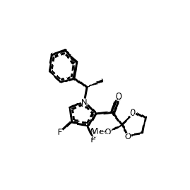 COC1(C(=O)c2c(F)c(F)cn2[C@H](C)c2ccccc2)OCCO1